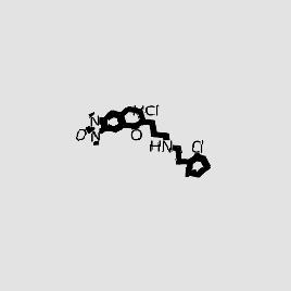 Cl.Cn1c(=O)n(C)c2cc3c(cc21)CCC(CCCNCCc1ccccc1Cl)C3=O